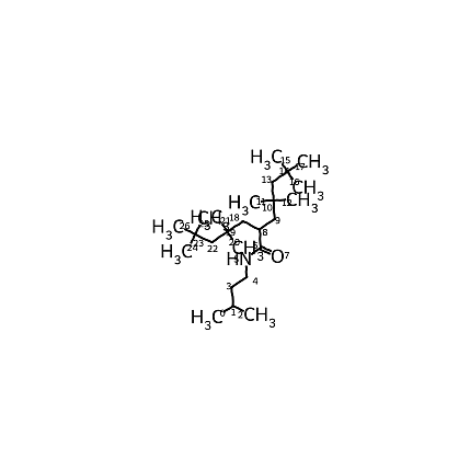 CC(C)CCNC(=O)C(CC(C)(C)CC(C)(C)C)CC(C)(C)CC(C)(C)C